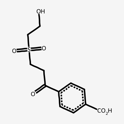 O=C(O)c1ccc(C(=O)CCS(=O)(=O)CCO)cc1